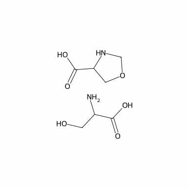 NC(CO)C(=O)O.O=C(O)C1COCN1